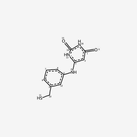 O=c1cc(Nc2cccc(CS)c2)[nH]c(=O)[nH]1